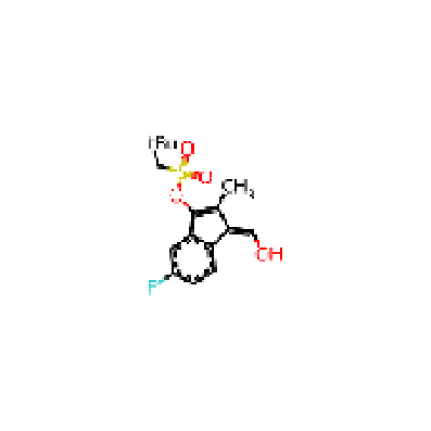 CC1=C(OS(=O)(=O)CC(C)(C)C)c2cc(F)ccc2C1=CO